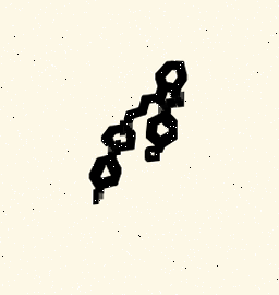 Fc1ccc(N2CCN(CCCc3c4c(nn3-c3ccc(Cl)cc3)CCCC4)CC2)cc1